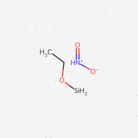 CCO[SiH3].O=[NH+][O-]